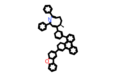 C[C@@H]1CC/C=C(c2ccccc2)/N=C(c2ccccc2)\C=C/1C1C=C(c2cccc3c2c2c(c4ccccc43)C=C(C3=CCC4Oc5ccccc5C4=C3)CC2)C=CC1